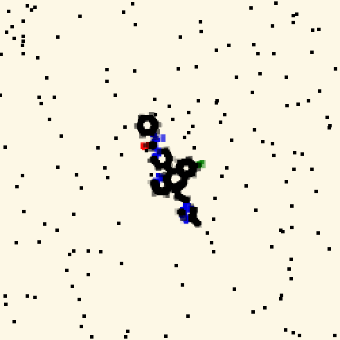 Cc1cn(CCC2=Cc3cc(Cl)ccc3C(C3CCN(C(=O)NC4CCCCC4)CC3)c3ncccc32)cn1